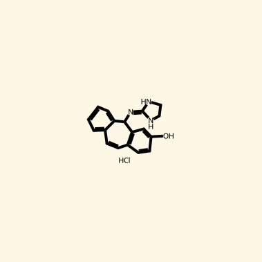 Cl.Oc1ccc2c(c1)C(N=C1NCCN1)c1ccccc1C=C2